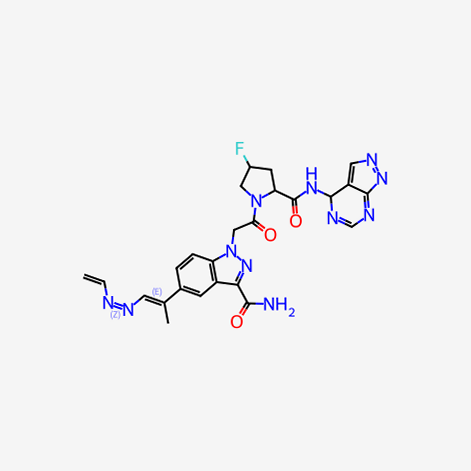 C=C/N=N\C=C(/C)c1ccc2c(c1)c(C(N)=O)nn2CC(=O)N1CC(F)CC1C(=O)NC1N=CN=C2N=NC=C21